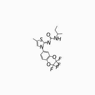 CCC(C)NC(=O)N=c1sc(C)cn1-c1ccc2c(c1)OC(F)(F)C(F)(F)O2